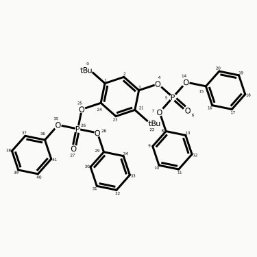 CC(C)(C)c1cc(OP(=O)(Oc2ccccc2)Oc2ccccc2)c(C(C)(C)C)cc1OP(=O)(Oc1ccccc1)Oc1ccccc1